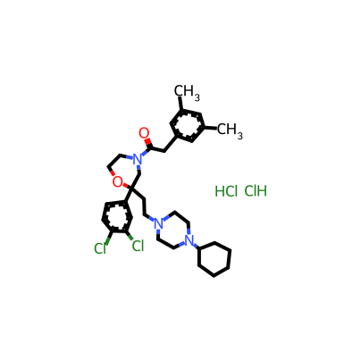 Cc1cc(C)cc(CC(=O)N2CCOC(CCN3CCN(C4CCCCC4)CC3)(c3ccc(Cl)c(Cl)c3)C2)c1.Cl.Cl